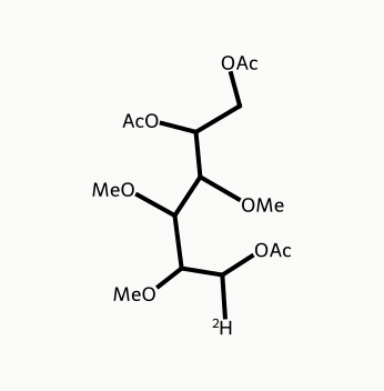 [2H]C(OC(C)=O)C(OC)C(OC)C(OC)C(COC(C)=O)OC(C)=O